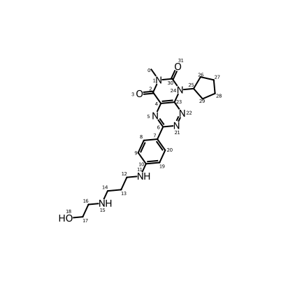 Cn1c(=O)c2nc(-c3ccc(NCCCNCCO)cc3)nnc2n(C2CCCC2)c1=O